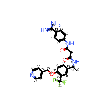 C[C@H](NC(=O)CC(=O)Nc1ccc(C(=N)N)cc1)c1ccc(OCc2ccncc2)c(C(F)(F)F)c1